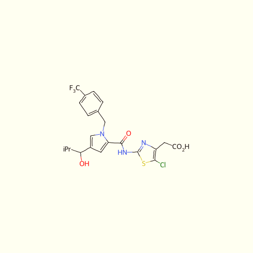 CC(C)C(O)c1cc(C(=O)Nc2nc(CC(=O)O)c(Cl)s2)n(Cc2ccc(C(F)(F)F)cc2)c1